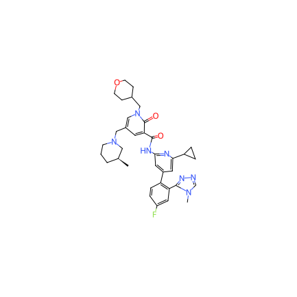 C[C@H]1CCCN(Cc2cc(C(=O)Nc3cc(-c4ccc(F)cc4-c4nncn4C)cc(C4CC4)n3)c(=O)n(CC3CCOCC3)c2)C1